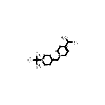 CC(C)C1=CCN(CC2CCN(C(C)(C)C)CC2)CC1